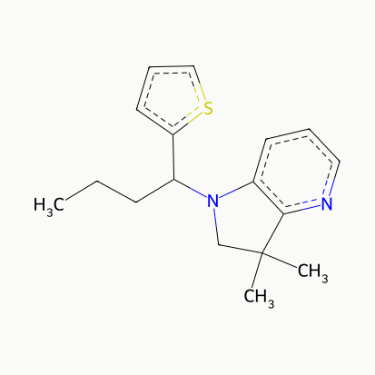 CCCC(c1cccs1)N1CC(C)(C)c2ncccc21